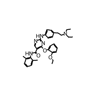 CCOc1ccccc1Oc1nc(Nc2ccc(CCN(CC)CC)cc2)ncc1C(=O)Nc1c(C)cccc1C